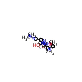 COc1ccccc1-c1cc(C(=O)Nc2nc3ccc(C4CCN(CCN(C)C)CC4)cc3n2CC(C)(C)O)cc(C)n1